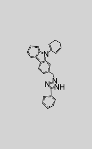 C1=CC(n2c3ccccc3c3ccc(Cn4nc(-c5ccccc5)[nH]4)cc32)=CCC1